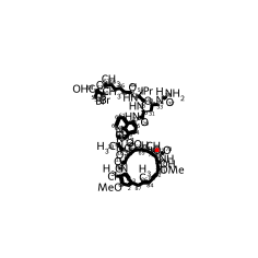 COc1cc2cc(c1Cl)N(C)C(=O)C[C@H](OC(=O)[C@H](C)N(C)C(=O)c1ccc(NC(=O)[C@H](CCCNC(N)=O)NC(=O)[C@@H](NC(=O)CCCCC(C)(C)OC(C=O)(CBr)CBr)C(C)C)c3cccnc13)[C@]1(C)O[C@H]1[C@H](C)[C@@H]1C[C@@](O)(NC(=O)O1)[C@H](OC)/C=C/C=C(\C)C2